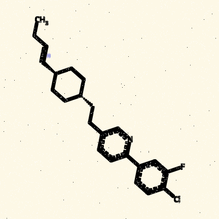 CC/C=C/[C@H]1CC[C@H](CCc2ccc(-c3ccc(Cl)c(F)c3)nc2)CC1